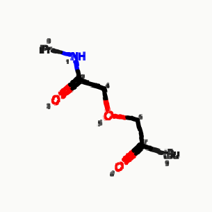 CC(C)NC(=O)COCC(=O)C(C)(C)C